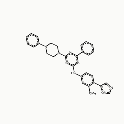 COc1cc(Nc2nc(-c3ccccc3)nc(N3CCN(c4ccccc4)CC3)n2)ccc1-c1cnco1